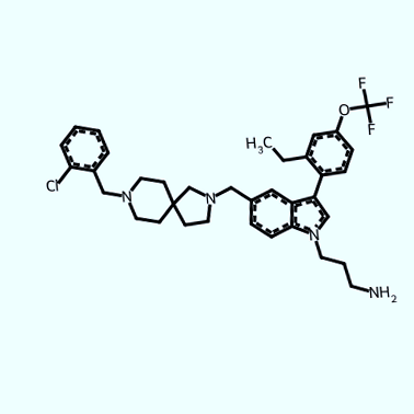 CCc1cc(OC(F)(F)F)ccc1-c1cn(CCCN)c2ccc(CN3CCC4(CCN(Cc5ccccc5Cl)CC4)C3)cc12